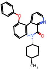 C[C@H]1CC[C@H](NC(=O)c2ncccc2-c2ccccc2Oc2ccccc2)CC1